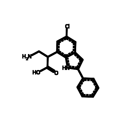 NCC(C(=O)O)c1cc(Cl)cc2cc(-c3ccccc3)[nH]c12